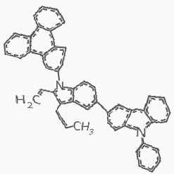 C=Cc1c(/C=C\C)c2cc(-c3ccc4c(c3)c3ccccc3n4-c3ccccc3)ccc2n1-c1ccc2c3ccccc3c3ccccc3c2c1